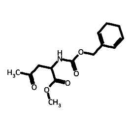 COC(=O)C(CC(C)=O)NC(=O)OCC1=CCCC=C1